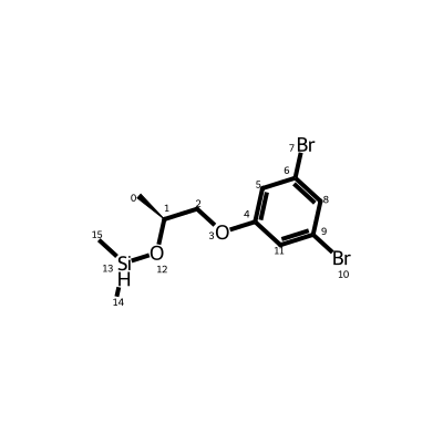 C[C@@H](COc1cc(Br)cc(Br)c1)O[SiH](C)C